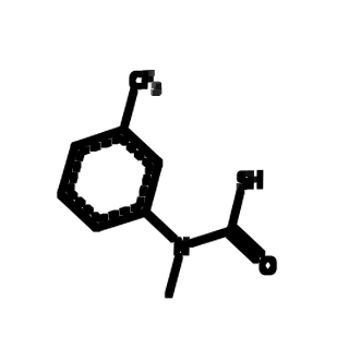 CN(C(=O)S)c1cccc(C(F)(F)F)c1